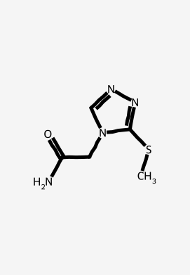 CSc1nncn1CC(N)=O